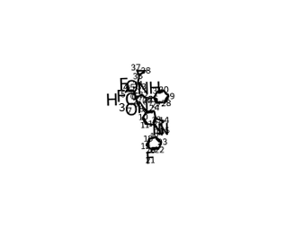 C[C@@]1(CC(F)F)C(=O)N(c2ccc3c(cnn3-c3ccc(F)cc3)c2)[C@H](c2ccccc2)C1NC(=O)C1CC1